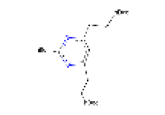 [CH2]CCCc1nc(CCCCCCCCCCCC)cc(CCCCCCCCCCCC)n1